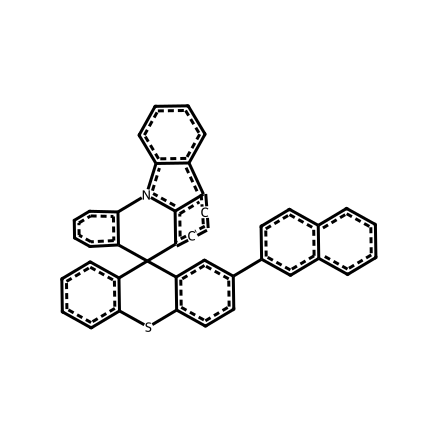 c1ccc2c(c1)Sc1ccc(-c3ccc4ccccc4c3)cc1C21c2ccccc2-n2c3ccccc3c3cccc1c32